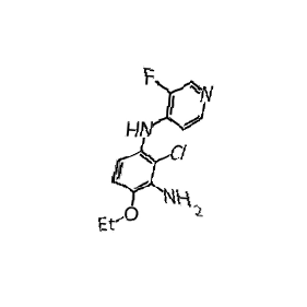 CCOc1ccc(Nc2ccncc2F)c(Cl)c1N